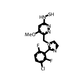 COc1cc(NS)nnc1Cn1ccnc1-c1c(F)ccc(Cl)c1F